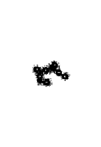 c1ccc(-c2ccc(-c3nc(-c4ccc(-n5c6ccccc6c6cc7ccn(-c8ccccc8)c7cc65)cc4)nc4ccccc34)cc2)cc1